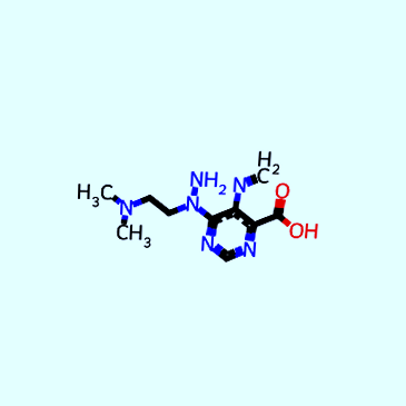 C=Nc1c(C(=O)O)ncnc1N(N)CCN(C)C